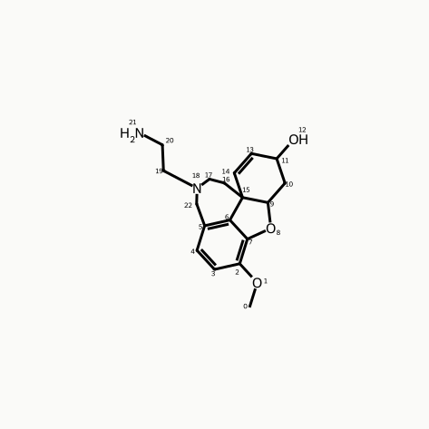 COc1ccc2c3c1OC1CC(O)C=CC31CCN(CCN)C2